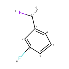 C[C@@H](I)c1cccc(F)c1